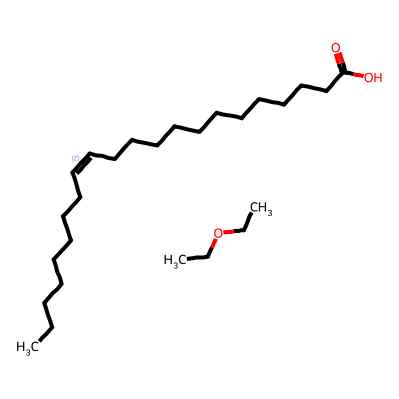 CCCCCCCC/C=C\CCCCCCCCCCCC(=O)O.CCOCC